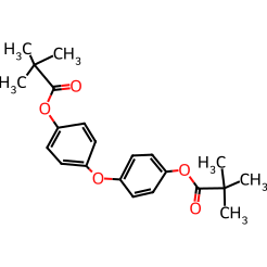 CC(C)(C)C(=O)Oc1ccc(Oc2ccc(OC(=O)C(C)(C)C)cc2)cc1